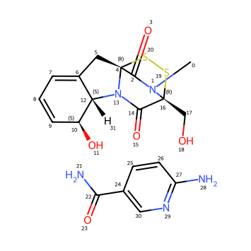 CN1C(=O)[C@]23CC4=CC=C[C@H](O)[C@H]4N2C(=O)[C@@]1(CO)SS3.NC(=O)c1ccc(N)nc1